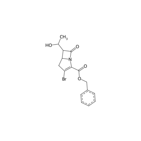 CC(O)C1C(=O)N2C(C(=O)OCc3ccccc3)=C(Br)CC12